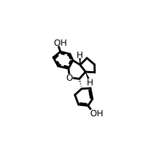 OC1=CC[C@H](C2Oc3ccc(O)cc3[C@@H]3CCC[C@H]23)C=C1